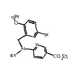 CCCOc1ccc(Br)cc1CN(CC)c1ccc(C(=O)OCC)cn1